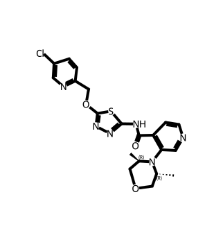 C[C@@H]1COC[C@@H](C)N1c1cnccc1C(=O)Nc1nnc(OCc2ccc(Cl)cn2)s1